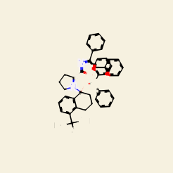 CC(C)(C)c1cccc2c1CCC[C@@]2(O[SiH](c1ccccc1)c1ccccc1)N1CCC[C@H]1c1nc(-c2ccccc2)c(-c2ccccc2)o1